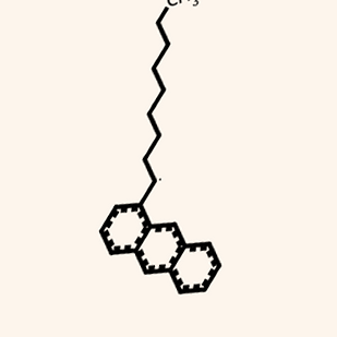 CCCCCCCC[CH]c1cccc2cc3ccccc3cc12